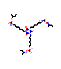 CC/C(C)=N\OC(=O)NCCCCCCn1c(=O)n(CCCCCCNC(=O)O/N=C(/C)CC)c(=O)n(CCCCCCNC(=O)O/N=C(\C)CC)c1=O